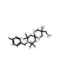 CCC1(CO)COC2(CC(C)(C)N(Cc3ccc(C)cc3)C(C)(C)C2)OC1